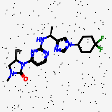 CC(C)C1CN(C)C(=O)N1c1ccnc(N[C@@H](C)c2cn(C3CCC(F)(F)CC3)cn2)n1